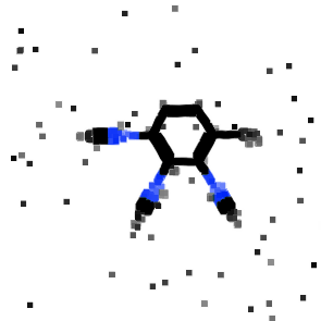 [C-]#[N+]c1ccc(C)c([N+]#[C-])c1[N+]#[C-]